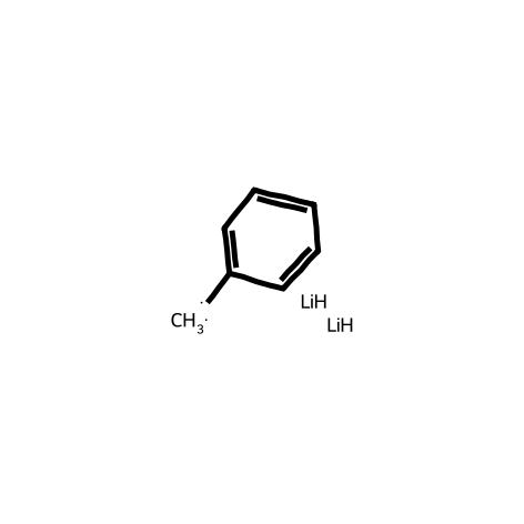 [CH2]c1ccccc1.[CH3].[LiH].[LiH]